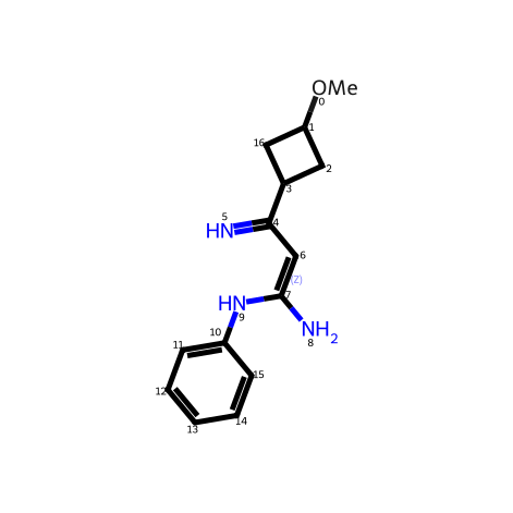 COC1CC(C(=N)/C=C(/N)Nc2ccccc2)C1